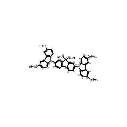 CCCCCCCCc1ccc2c(c1)c1cc(CCCCCC)ccc1n2-c1ccc2c(c1)C(CCCCCCCC)(CCCCCCCC)c1cc(-n3c4ccc(CCCCCC)cc4c4cc(CCCCCC)ccc43)ccc1-2